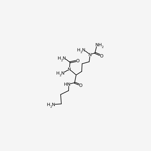 NCCCNC(=O)C(CCCN(N)C(N)=O)N(N)C(N)=O